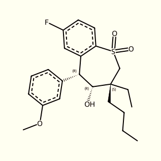 CCCC[C@]1(CC)CS(=O)(=O)c2ccc(F)cc2[C@@H](c2cccc(OC)c2)[C@H]1O